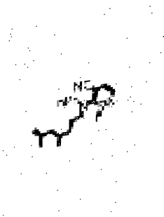 C=C(C)CC(C)CCCN(CCC)C1=C(C#N)C=CN=S1F